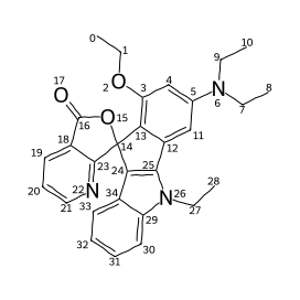 CCOc1cc(N(CC)CC)cc2c1C1(OC(=O)c3cccnc31)c1c-2n(CC)c2ccccc12